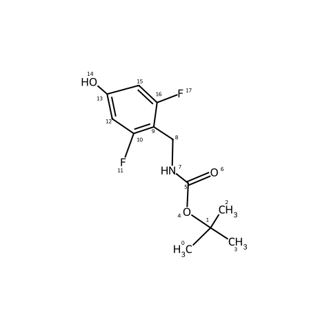 CC(C)(C)OC(=O)NCc1c(F)cc(O)cc1F